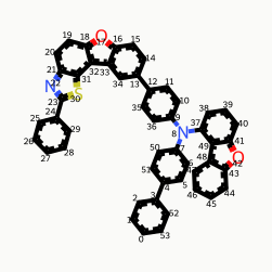 c1ccc(-c2ccc(N(c3ccc(-c4ccc5oc6ccc7nc(-c8ccccc8)sc7c6c5c4)cc3)c3cccc4oc5ccccc5c34)cc2)cc1